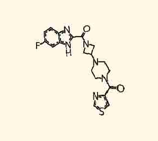 O=C(c1cscn1)N1CCN(C2CN(C(=O)c3nc4ccc(F)cc4[nH]3)C2)CC1